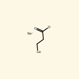 O=C([O-])C[CH2][Ge].[Na+]